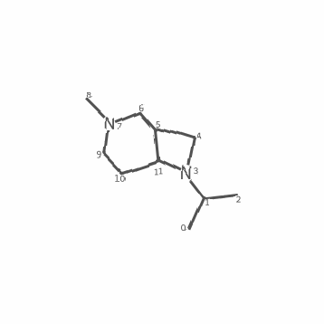 CC(C)N1CC2CN(C)CCC21